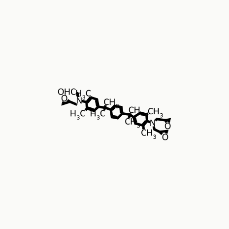 Cc1cc(C(C)(C)c2ccc(C(C)(C)c3cc(C)c(N(CC4CO4)CC4CO4)c(C)c3)cc2)cc(C)c1N(CC=O)CC1CO1